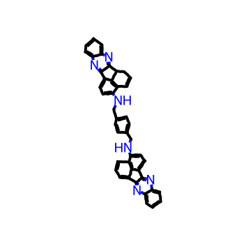 C1=Cc2c(NCc3ccc(CNc4ccc5c6c(cccc46)-c4nc6ccccc6nc4-5)cc3)ccc3c2C(C1)c1nc2ccccc2nc1-3